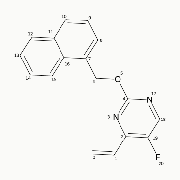 C=Cc1nc(OCc2cccc3ccccc23)ncc1F